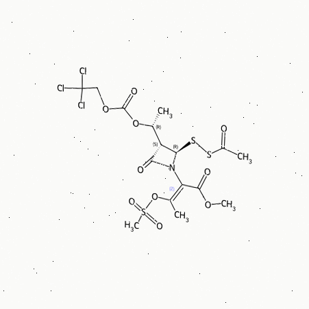 COC(=O)/C(=C(\C)OS(C)(=O)=O)N1C(=O)[C@H]([C@@H](C)OC(=O)OCC(Cl)(Cl)Cl)[C@H]1SSC(C)=O